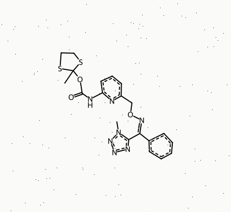 Cn1nnnc1/C(=N\OCc1cccc(NC(=O)OC2(C)SCCS2)n1)c1ccccc1